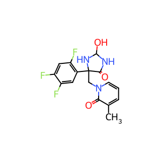 Cc1cccn(CC2(c3cc(F)c(F)cc3F)NC(O)NC2=O)c1=O